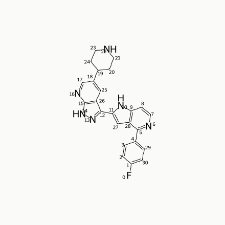 Fc1ccc(-c2nccc3[nH]c(-c4n[nH]c5ncc(C6CCNCC6)cc45)cc23)cc1